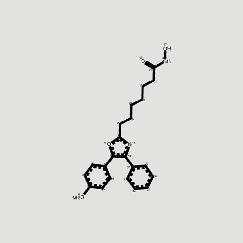 COc1ccc(-c2oc(CCCCCCC(=O)NO)nc2-c2ccccc2)cc1